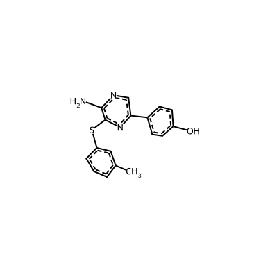 Cc1cccc(Sc2nc(-c3ccc(O)cc3)cnc2N)c1